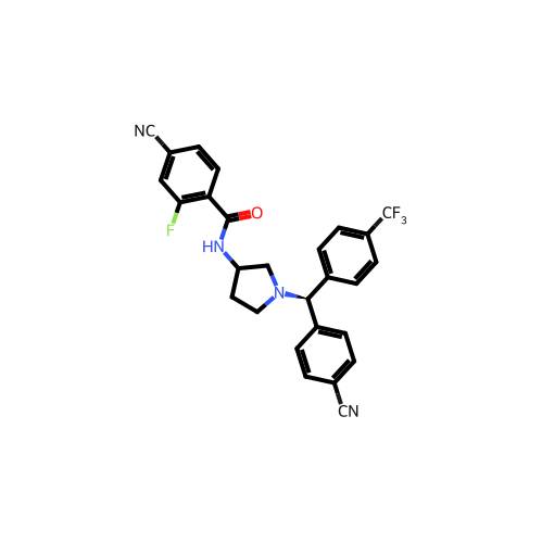 N#Cc1ccc([C@H](c2ccc(C(F)(F)F)cc2)N2CCC(NC(=O)c3ccc(C#N)cc3F)C2)cc1